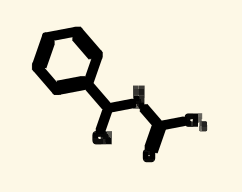 N#CC(NC(=O)C(F)(F)F)c1ccccc1